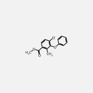 COC(=O)c1ccc(Cl)c(Oc2ccccc2)c1C